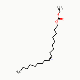 C=COC(=O)OCCCCCCCC/C=C\CCCCCCCC